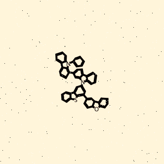 C1=CC2Oc3ccccc3C2C=C1c1cc(-n2c3ccccc3c3ccc(-c4cccc5c6ccccc6n(-c6ccccc6)c45)cc32)cc2c1sc1ccccc12